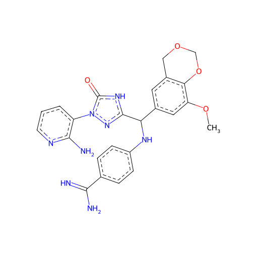 COc1cc(C(Nc2ccc(C(=N)N)cc2)c2nn(-c3cccnc3N)c(=O)[nH]2)cc2c1OCOC2